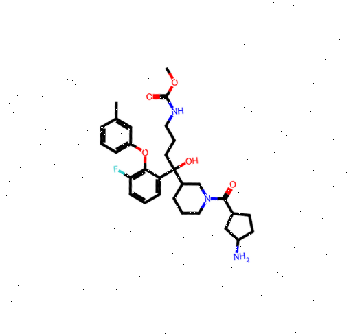 COC(=O)NCCCC(O)(c1cccc(F)c1Oc1cccc(C)c1)C1CCCN(C(=O)C2CCC(N)C2)C1